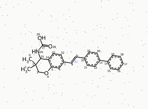 CC1(C)COc2cc(/C=C/c3ccc(-c4ccccc4)cc3)ccc2C1NC(=O)O